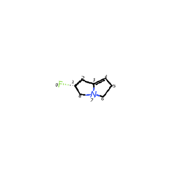 F[C@@H]1CC2=CCCN2C1